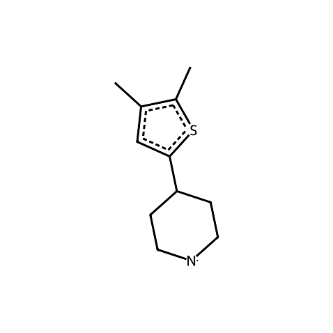 Cc1cc(C2CC[N]CC2)sc1C